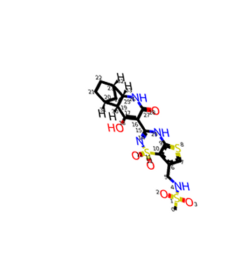 CS(=O)(=O)NCc1csc2c1S(=O)(=O)N=C(C1=C(O)[C@@H]3[C@@H]4CC[C@@H](C4)[C@@H]3NC1=O)N2